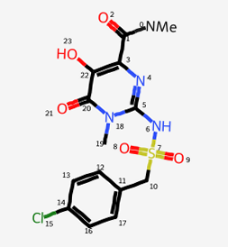 CNC(=O)c1nc(NS(=O)(=O)Cc2ccc(Cl)cc2)n(C)c(=O)c1O